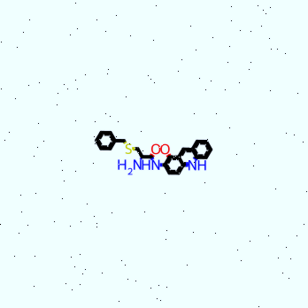 N[C@@H](CSCc1ccccc1)C(=O)Nc1ccc2[nH]c3ccccc3cc-2c1=O